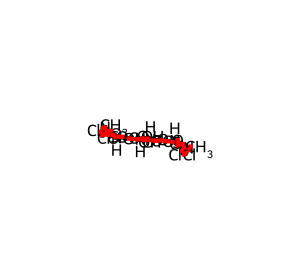 CN1Cc2c(Cl)cc(Cl)cc2[C@@H](c2ccc(S(=O)(=O)NCCOCCOCCOCCNC(=O)C(O)C(O)C(=O)NCCOCCOCCOCCNS(=O)(=O)C3CCC([C@H]4CN(C)Cc5c(Cl)cc(Cl)cc54)CC3)cc2)C1